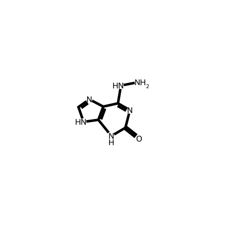 NNc1nc(=O)[nH]c2[nH]cnc12